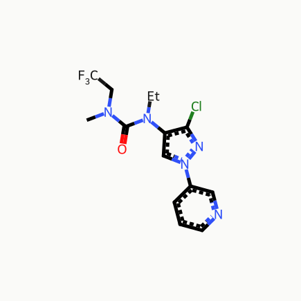 CCN(C(=O)N(C)CC(F)(F)F)c1cn(-c2cccnc2)nc1Cl